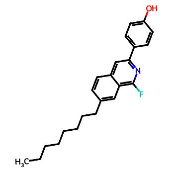 CCCCCCCCc1ccc2cc(-c3ccc(O)cc3)nc(F)c2c1